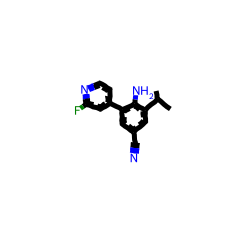 CC(C)c1cc(C#N)cc(-c2ccnc(F)c2)c1N